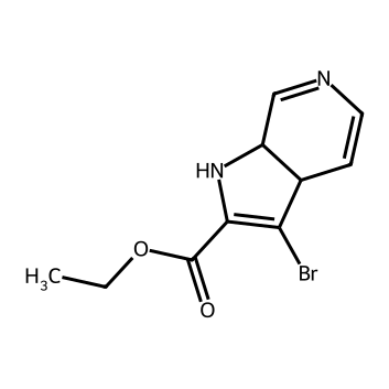 CCOC(=O)C1=C(Br)C2C=CN=CC2N1